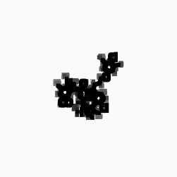 Cc1cc(OCCCc2c3n(c4c(-c5c(C)n[nH]c5C)c(Cl)ccc24)[C@H](C)CN(c2cn(C)c4c(C)cc(C(=O)O)cc24)C3=O)cc(C)c1Cl